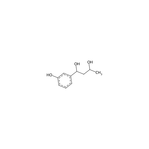 CC(O)CC(O)c1cccc(O)c1